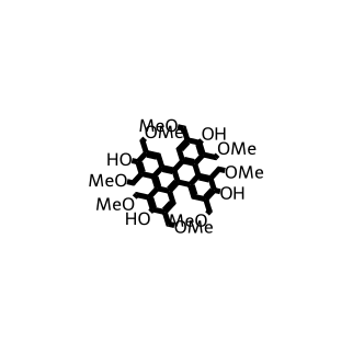 COCc1cc2c(c(COC)c1O)c1c(COC)c(O)c(COC)cc1c1c3cc(COC)c(O)c(COC)c3c3c(COC)c(O)c(COC)cc3c21